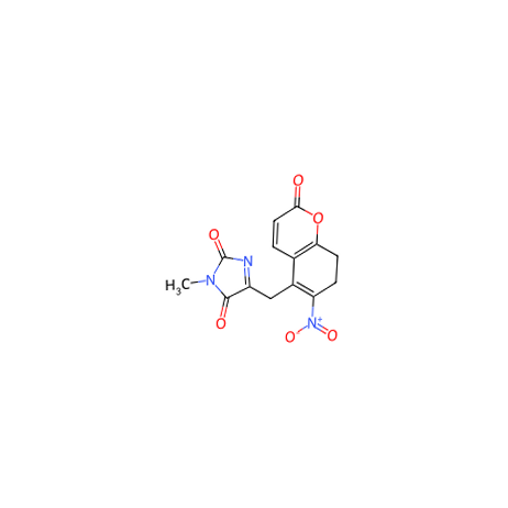 CN1C(=O)N=C(CC2=C([N+](=O)[O-])CCc3oc(=O)ccc32)C1=O